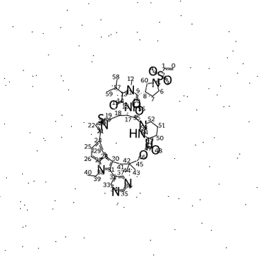 C=CS(=O)(=O)N1CC[C@H](C(=O)N(C)C(C(=O)N[C@H]2Cc3nc(cs3)-c3ccc4c(c3)c(c(-c3cncnc3)n4CC)CC(C)(C)COC(=O)[C@@H]3CCCN(N3)C2=O)C(C)C)C1